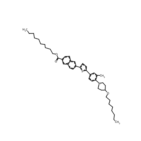 CCCCCCCCCCOC(=O)c1ccc2cc(-c3ccc(-c4ccc(N5CCC(OCCCCCCCC)CC5)c(C)c4)s3)ccc2c1